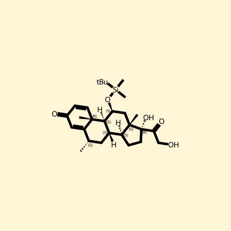 C[C@H]1C[C@@H]2[C@H]([C@@H](O[Si](C)(C)C(C)(C)C)C[C@@]3(C)[C@H]2CC[C@]3(O)C(=O)CO)[C@@]2(C)C=CC(=O)C=C12